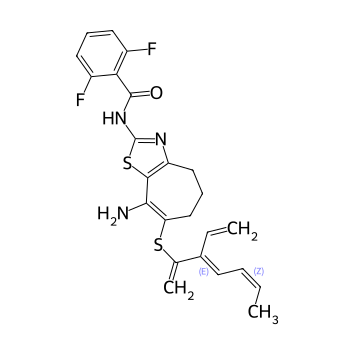 C=C/C(=C\C=C/C)C(=C)SC1=C(N)c2sc(NC(=O)c3c(F)cccc3F)nc2CCC1